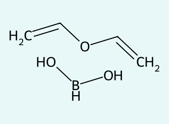 C=COC=C.OBO